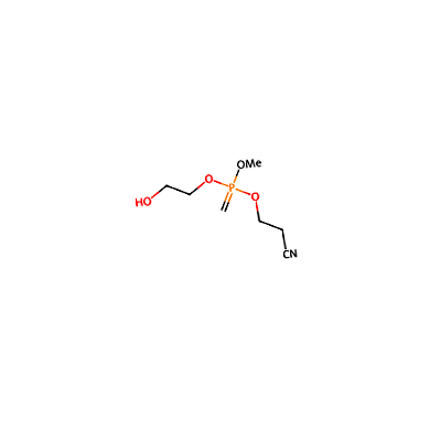 C=P(OC)(OCCO)OCCC#N